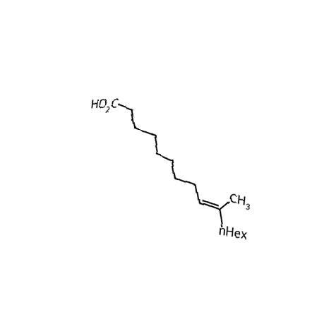 CCCCCCC(C)=CCCCCCCCC(=O)O